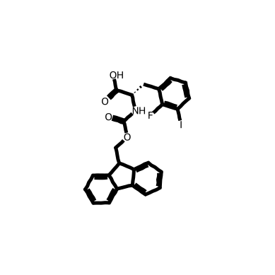 O=C(N[C@@H](Cc1cccc(I)c1F)C(=O)O)OCC1c2ccccc2-c2ccccc21